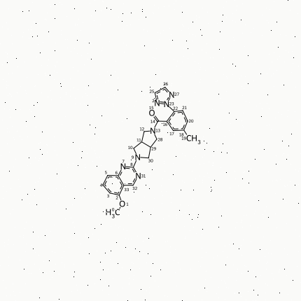 COc1cccc2nc(N3CC4CN(C(=O)c5cc(C)ccc5-n5nccn5)CC4C3)ncc12